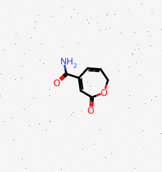 NC(=O)C1=CC(=O)OCC=C1